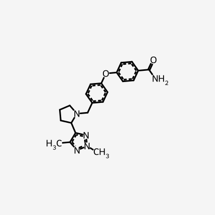 Cc1nn(C)nc1C1CCCN1Cc1ccc(Oc2ccc(C(N)=O)cc2)cc1